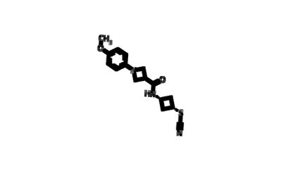 COc1ccc(N2CC(C(=O)N[C@H]3C[C@@H](SC#N)C3)C2)cc1